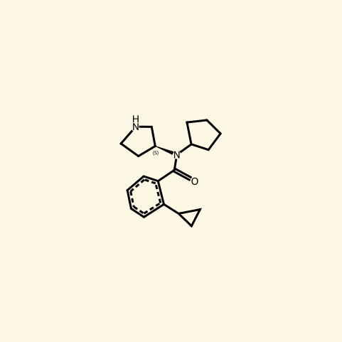 O=C(c1ccccc1C1CC1)N(C1CCCC1)[C@H]1CCNC1